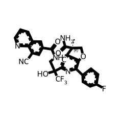 C[C@]1(C(N)=O)COc2c1cc(C(O)(CNC(=O)c1cc(C#N)c3ncccc3c1)C(F)(F)F)nc2-c1ccc(F)cc1